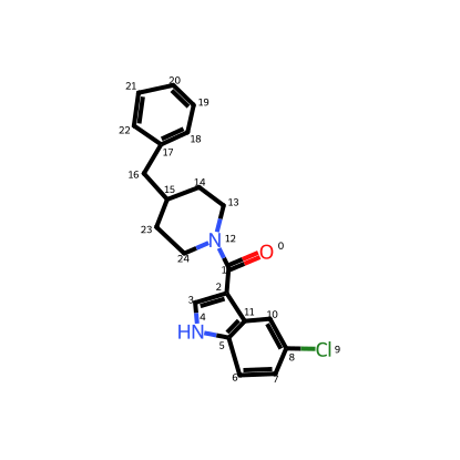 O=C(c1c[nH]c2ccc(Cl)cc12)N1CCC(Cc2ccccc2)CC1